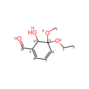 CCOC1(OC)C=CC=C(C=O)C1O